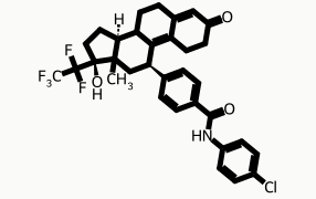 CC12C[C@H](c3ccc(C(=O)Nc4ccc(Cl)cc4)cc3)C3=C4CCC(=O)C=C4CCC3[C@@H]1CC[C@@]2(O)C(F)(F)C(F)(F)F